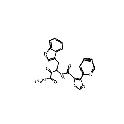 NC(=O)C(=O)C(Cc1coc2ccccc12)NC(=O)c1scnc1-c1ccccn1